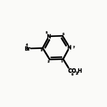 O=C(O)c1cc(Br)ncn1